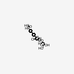 O=C(O)Nc1ccc(-c2ccc(-c3nc4nc(O[C@H]5CO[C@H](CO)[C@@H](O)C5)[nH]c4cc3Cl)cc2)cc1